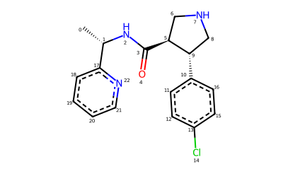 C[C@H](NC(=O)[C@H]1CNC[C@@H]1c1ccc(Cl)cc1)c1ccccn1